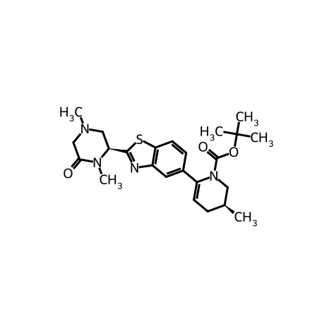 C[C@H]1CC=C(c2ccc3sc([C@@H]4CN(C)CC(=O)N4C)nc3c2)N(C(=O)OC(C)(C)C)C1